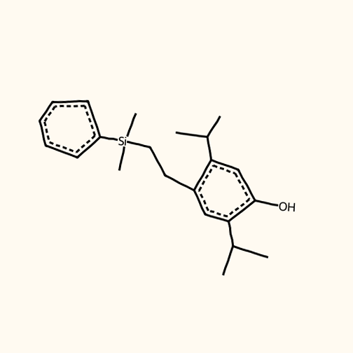 CC(C)c1cc(CC[Si](C)(C)c2ccccc2)c(C(C)C)cc1O